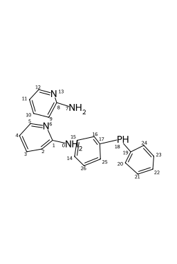 Nc1ccccn1.Nc1ccccn1.c1ccc(Pc2ccccc2)cc1